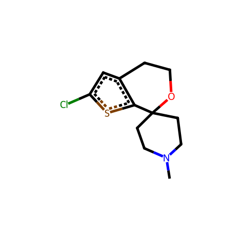 CN1CCC2(CC1)OCCc1cc(Cl)sc12